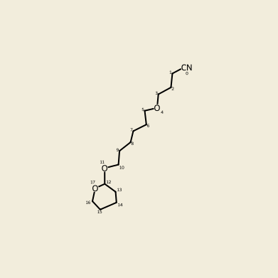 N#CCCCOCCCCCCOC1CCCCO1